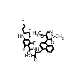 COc1cnn(C)c(=O)c1-c1ccc(CC(NC(=O)c2c(F)cc(NC(CCF)C(F)F)cc2F)C(=O)O)c2ccccc12